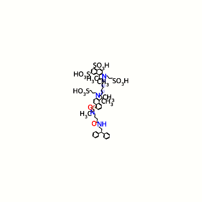 CN(CCCC(=O)NCCC(c1ccccc1)c1ccccc1)[S+]([O-])c1cccc2c3c(ccc12)[N+](CCCS(=O)(=O)O)=C(/C=C/C=C/C=C1/N(CCCS(=O)(=O)O)c2ccc4c(S(=O)(=O)O)cc(S(=O)(=O)O)cc4c2C1(C)C)C3(C)C